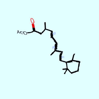 CC(=O)OC(=O)CC(C)/C=C/C=C(C)/C=C/C1=C(C)CCCC1(C)C